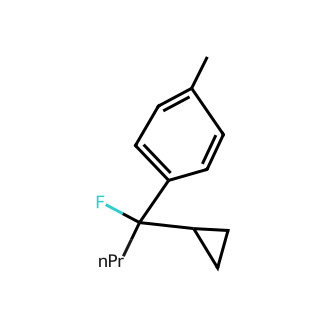 CCCC(F)(c1ccc(C)cc1)C1CC1